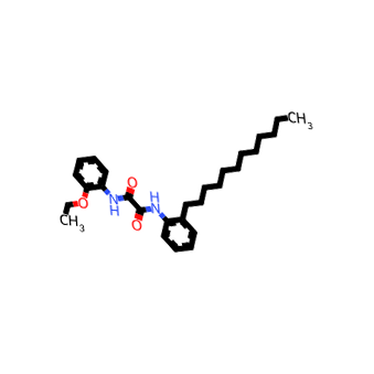 CCCCCCCCCCCCc1ccccc1NC(=O)C(=O)Nc1ccccc1OCC